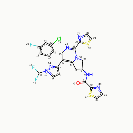 O=C(N[C@H]1CC2=C(c3ccn(C(F)F)n3)[C@H](c3ccc(F)cc3Cl)N=C(c3nccs3)N2C1)c1nccs1